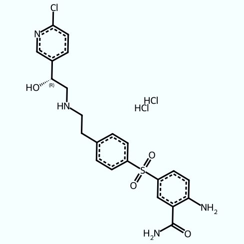 Cl.Cl.NC(=O)c1cc(S(=O)(=O)c2ccc(CCNC[C@H](O)c3ccc(Cl)nc3)cc2)ccc1N